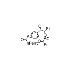 CCC(=O)C(=O)c1ccccc1.CCC(=O)C(C)=O.CCCCCC(=O)C(C)=O